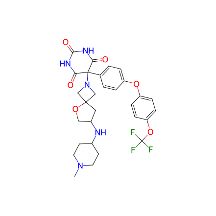 CN1CCC(NC2COC3(C2)CN(C2(c4ccc(Oc5ccc(OC(F)(F)F)cc5)cc4)C(=O)NC(=O)NC2=O)C3)CC1